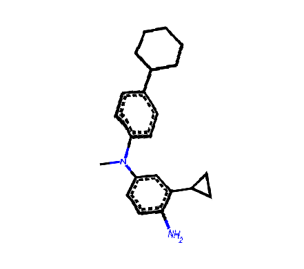 CN(c1ccc(C2CCCCC2)cc1)c1ccc(N)c(C2CC2)c1